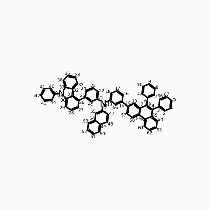 c1ccc(-c2c(-c3ccccc3)c3cc(-c4cccc(N(c5cccc(-c6cccc7c6c6ccccc6n7-c6ccccc6)c5)c5ccc6ccccc6c5)c4)ccc3c3ccccc23)cc1